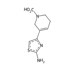 Nc1nc(C2=CCCN(C(=O)O)C2)cs1